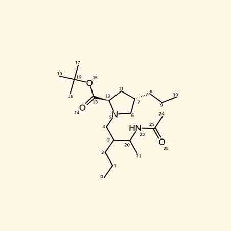 CCCC(CN1C[C@@H](CCC)C[C@@H]1C(=O)OC(C)(C)C)C(C)NC(C)=O